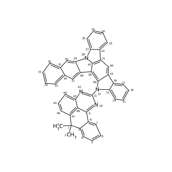 CC1(C)c2ccccc2-c2nc(-n3c4ccccc4c4cc5c6ccccc6n6c7cc8ccccc8cc7c(c43)c56)nc3cccc1c23